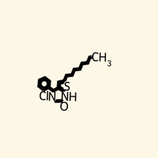 CCCCCCCCc1cc2c(s1)NC(=O)CN=C2c1ccccc1Cl